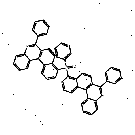 O=P(c1ccccc1)(c1cccc2c1ccc1c(-c3ccccc3)nc3ccccc3c12)c1cccc2c1ccc1c(-c3ccccc3)nc3ccccc3c12